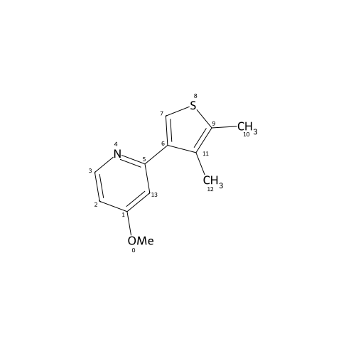 COc1ccnc(-c2csc(C)c2C)c1